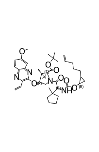 C=CCCCC1C[C@H]1OC(=O)N[C@H](C(=O)N1C[C@H](Oc2nc3cc(OC)ccc3nc2C=C)[C@@H](C)[C@H]1C(=O)OC(C)(C)C)C1(C)CCCC1